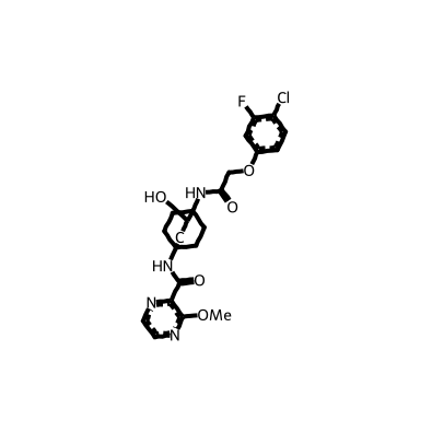 COc1nccnc1C(=O)NC12CCC(NC(=O)COc3ccc(Cl)c(F)c3)(CC1)C(O)C2